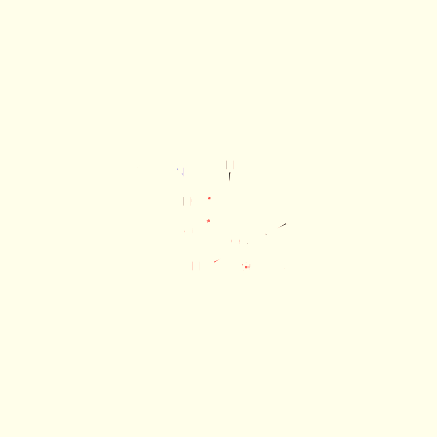 C[C@]12CCC[C@@]3(C(=O)OC1)C1C[C@@H]4CCC1(C(=O)[C@H]4CN1CCOCC1)[C@H](O)CC23